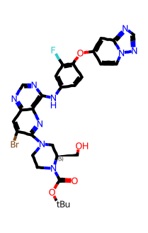 CC(C)(C)OC(=O)N1CCN(c2nc3c(Nc4ccc(Oc5ccn6ncnc6c5)c(F)c4)ncnc3cc2Br)C[C@H]1CO